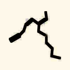 C#CC/C=C\C(=C/C)CSCCCC